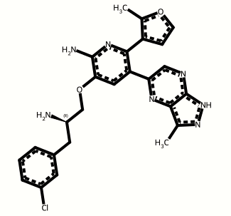 Cc1occc1-c1nc(N)c(OC[C@H](N)Cc2cccc(Cl)c2)cc1-c1cnc2[nH]nc(C)c2n1